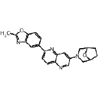 Cc1nc2cc(-c3ccc4ncc(N5CC6CCC(C5)O6)cc4n3)ccc2o1